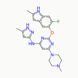 Cc1cc(Nc2cc(N3CCN(C)CC3)nc(Oc3cc4cc(C)[nH]c4cc3F)n2)n[nH]1